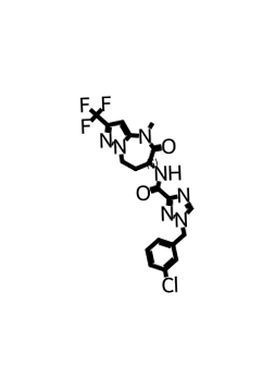 CN1C(=O)[C@@H](NC(=O)c2ncn(Cc3cccc(Cl)c3)n2)CCn2nc(C(F)(F)F)cc21